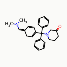 CN(C)C=C1C=CC(C(c2ccccc2)(c2ccccc2)N2CCCC(=O)C2)=CC1